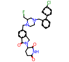 O=C1CCC(N2Cc3cc(CN4CCN(Cc5ccccc5-c5ccc(Cl)cc5)CC4CF)ccc3C2=O)C(=O)N1